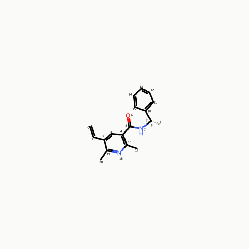 C=Cc1cc(C(=O)N[C@@H](C)c2ccccc2)c(C)nc1C